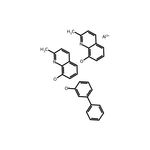 Cc1ccc2cccc([O-])c2n1.Cc1ccc2cccc([O-])c2n1.[Al+3].[O-]c1cccc(-c2ccccc2)c1